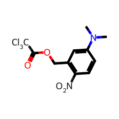 CN(C)c1ccc([N+](=O)[O-])c(COC(=O)C(Cl)(Cl)Cl)c1